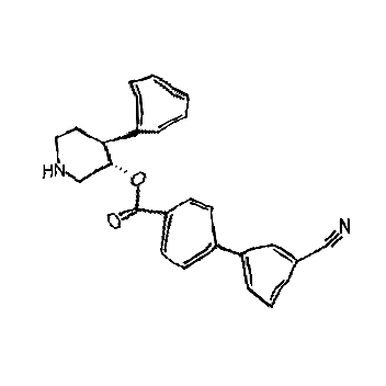 N#Cc1cccc(-c2ccc(C(=O)O[C@@H]3CNCC[C@H]3c3ccccc3)cc2)c1